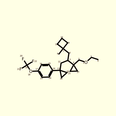 CCOCC1([C](CC2(C)CCC2)CC2(c3ccc(OC(F)(F)F)cc3)CC2)CC1